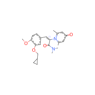 COc1ccc(/C=C(\C(=O)N(C)C)n2c(C)cc(=O)cc2C)cc1OCC1CC1